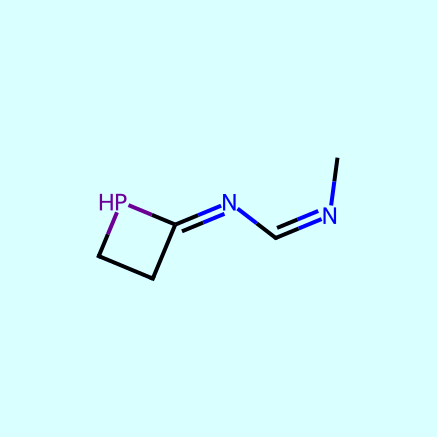 C/N=C\N=C1/CCP1